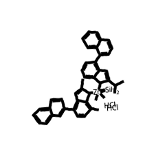 CC1=Cc2c(-c3ccc4ccccc4c3)ccc(C)c2[CH]1[Zr]([CH3])([CH3])(=[SiH2])[CH]1C(C(C)C)=Cc2c(-c3cccc4ccccc34)cccc21.Cl.Cl